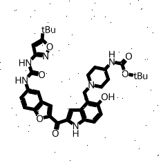 CC(C)(C)OC(=O)NC1CCN(Cc2c(O)ccc3[nH]c(C(=O)c4cc5cc(NC(=O)Nc6cc(C(C)(C)C)on6)ccc5o4)cc23)CC1